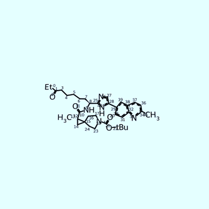 CCC(=O)CCCCC[C@H](NC(=O)[C@]1(C)CC12CCN(C(=O)OC(C)(C)C)CC2)c1ncc(-c2ccc3nc(C)ccc3c2)[nH]1